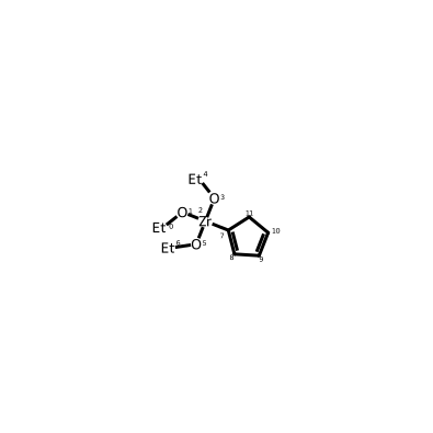 CC[O][Zr]([O]CC)([O]CC)[C]1=CC=CC1